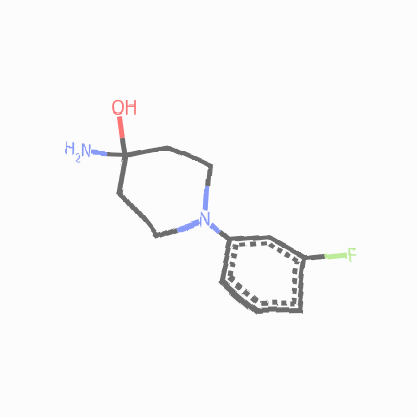 NC1(O)CCN(c2cccc(F)c2)CC1